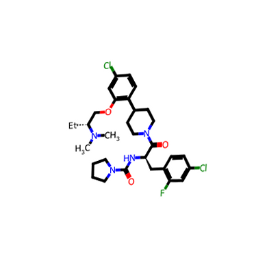 CC[C@H](COc1cc(Cl)ccc1C1CCN(C(=O)[C@@H](Cc2ccc(Cl)cc2F)NC(=O)N2CCCC2)CC1)N(C)C